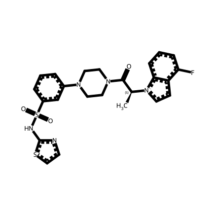 C[C@@H](C(=O)N1CCN(c2cccc(S(=O)(=O)Nc3nccs3)c2)CC1)n1ccc2c(F)cccc21